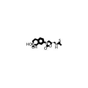 CC(=S)NC[C@H]1CN(c2ccc3c(c2)CS(O)(O)CC3)C(=O)O1